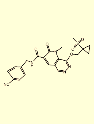 Cn1c(=O)c(C(=O)NCc2ccc(C#N)cc2)cc2cnnc(OCC3(S(C)(=O)=O)CC3)c21